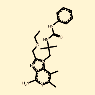 CCOCc1nc2c(N)nc(C)c(C)c2n1CC(C)(C)NC(=O)Nc1ccccc1